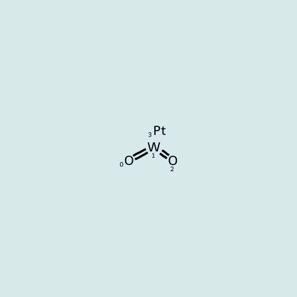 [O]=[W]=[O].[Pt]